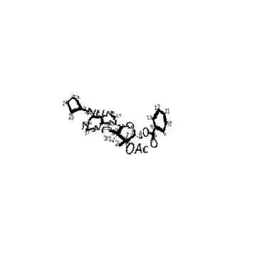 CC(=O)O[C@]1(C)[C@@H](COC(=O)c2ccccc2)O[C@@H](n2cnc3c(NC4CCC4)ncnc32)[C@]1(C)F